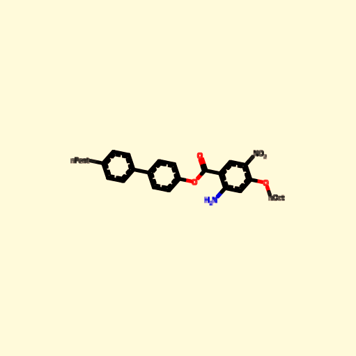 CCCCCCCCOc1cc(N)c(C(=O)Oc2ccc(-c3ccc(CCCCC)cc3)cc2)cc1[N+](=O)[O-]